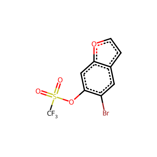 O=S(=O)(Oc1cc2occc2cc1Br)C(F)(F)F